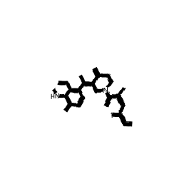 C=Cc1c(/C(C)=C2\CN(C(=C)/C(C)=C\C(C)=C/C)CCC2=C)ccc(C)c1NC